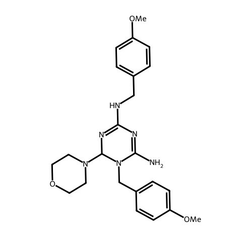 COc1ccc(CNC2=NC(N3CCOCC3)N(Cc3ccc(OC)cc3)C(N)=N2)cc1